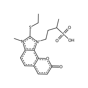 CCSc1n(C)c2ccc3ccc(=O)oc3c2[n+]1CCC(C)S(=O)(=O)O